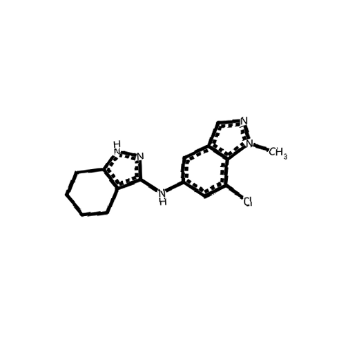 Cn1ncc2cc(Nc3n[nH]c4c3CCCC4)cc(Cl)c21